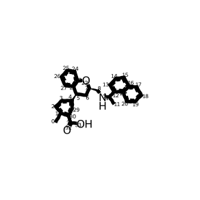 Cc1ccc([C@@H]2C[C@H](CNC(C)c3cccc4ccccc34)Oc3ccccc32)cc1C(=O)O